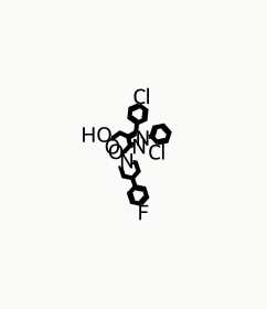 O=C(O)Cc1c(C(=O)N2CCC(c3ccc(F)cc3)CC2)nn(-c2ccccc2Cl)c1-c1ccc(Cl)cc1